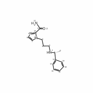 C[C@@H](NCCCn1c[c]nc1C(N)=O)c1ccccc1